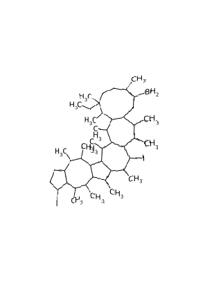 BC1CC2C(C)C(C)C3C(I)C(C)C4C(C)C5C(C)C(C)C6C(I)CCC6C(C)C(C)C5C4C(C)C3C(C)C2C(C)C(C)(CC)CCC1C